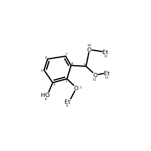 CCOc1c(O)cccc1C(OCC)OCC